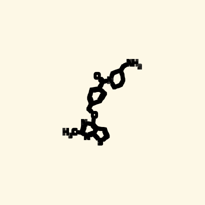 Cc1nc(OCc2ccc(C(=O)N3CCCC(CN)C3)cc2)c2ccsc2n1